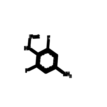 CCCC(C)Nc1c(F)cc(N)cc1F